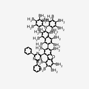 Bc1c(B)c(B)c(N(c2c(B)c(B)c(B)c(B)c2B)c2c(B)c(B)c3c(B)c(-c4c(B)c(-c5nc(-c6ccccc6)nc(-c6ccccc6)n5)c5c(oc6c(B)c(B)c(B)c(B)c65)c4B)c(B)c(B)c3c2B)c(B)c1B